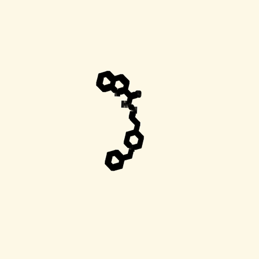 O=C(NN=CCC1CCN(Cc2ccccc2)CC1)c1ccc2ccccc2n1